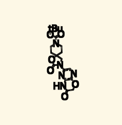 CC(C)(C)OC(=O)N1CCC2(CC1)CN(c1cnc3c(n1)NC(=O)CO3)C(=O)O2